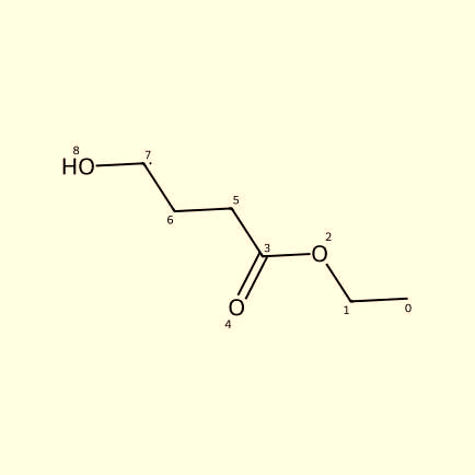 CCOC(=O)CC[CH]O